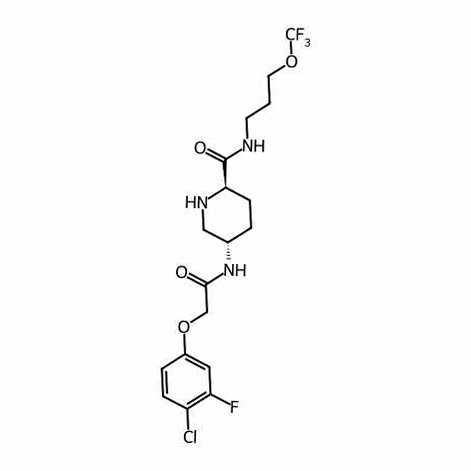 O=C(COc1ccc(Cl)c(F)c1)N[C@H]1CC[C@H](C(=O)NCCCOC(F)(F)F)NC1